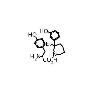 CCC1(c2cccc(O)c2)CCCCN(C)C1.NC(Cc1ccc(O)cc1)C(=O)O